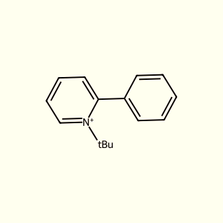 CC(C)(C)[n+]1ccccc1-c1ccccc1